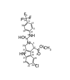 COC(=O)C1CN(C(O)Nc2ccc(C(F)(F)F)cc2)Cc2[nH]c3ccc(Cl)cc3c21